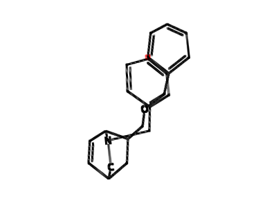 C1=CC2C(COCc3ccccc3)CC1CN2Cc1ccccc1